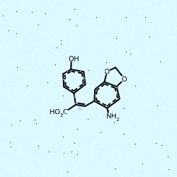 Nc1cc2c(cc1/C=C(/C(=O)O)c1ccc(O)cc1)OCO2